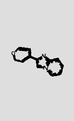 C1=CC(c2cn3ccccc3n2)=CCO1